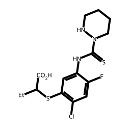 CCC(Sc1cc(NC(=S)N2CCCCN2)c(F)cc1Cl)C(=O)O